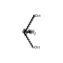 CCCCCCCCC=CCCCCCCCCCCCCCC(=O)[PH-](OCC[N+](C)(C)C)C(=O)CCCCCCCCCCCCCC=CCCCCCCCC